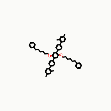 Cc1ccc(-c2ccc(-c3cc(OCCCCCCc4ccccc4)c(-c4ccc(-c5ccc(C)cc5C)cc4)cc3OCCCCCCc3ccccc3)cc2)c(C)c1